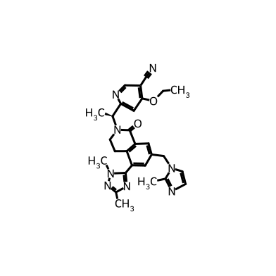 CCOc1cc([C@H](C)N2CCc3c(cc(Cn4ccnc4C)cc3-c3nc(C)nn3C)C2=O)ncc1C#N